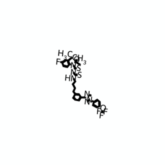 CC(C)c1cc(F)ccc1N1C(=O)CS/C1=N\C(=S)NCCCCc1cccc(-c2ncn(-c3ccc(OC(F)(F)F)cc3)n2)c1